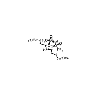 CCCCCCCCCCCCCCPCCCCCCCCCCCCC.O=S(=O)(NS(=O)(=O)C(F)(F)F)C(F)(F)F